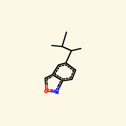 CC(C)C(C)c1ccc2nocc2c1